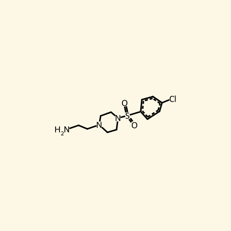 NCCN1CCN(S(=O)(=O)c2ccc(Cl)cc2)CC1